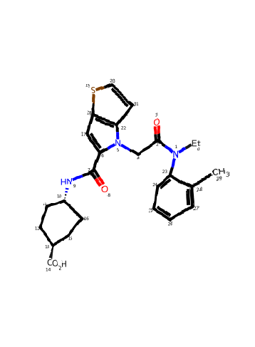 CCN(C(=O)Cn1c(C(=O)N[C@H]2CC[C@H](C(=O)O)CC2)cc2sccc21)c1ccccc1C